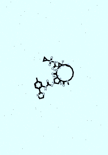 Cc1ccc(C2=NCCO2)c(NC(=O)O[C@@H]2C[C@H]3C(=O)N[C@]4(C(=O)NS(=O)(=O)C5CC5)C[C@H]4/C=C\CCCCN(C)C(=O)[C@@H]3C2)c1